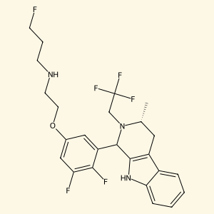 C[C@@H]1Cc2c([nH]c3ccccc23)C(c2cc(OCCNCCCF)cc(F)c2F)N1CC(F)(F)F